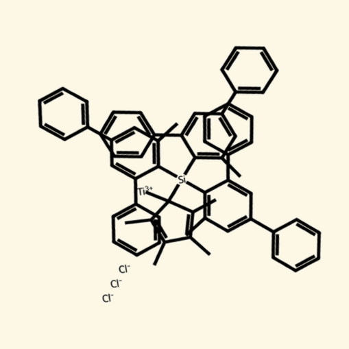 CC1=C(C)[C]([Ti+3])([Si](c2c(C)cc(-c3ccccc3)cc2-c2ccccc2)(c2c(C)cc(-c3ccccc3)cc2-c2ccccc2)c2c(C)cc(-c3ccccc3)cc2-c2ccccc2)C(C)=C1C.[Cl-].[Cl-].[Cl-]